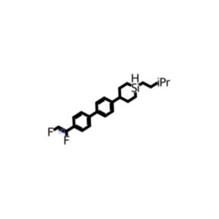 CC(C)CC[SiH]1CCC(c2ccc(-c3ccc(/C(F)=C/F)cc3)cc2)CC1